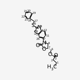 CCCC(=O)OC[C@H]1CN(c2ccc3nc(SCc4ccccc4)sc3c2)C(=O)O1